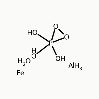 O.OP1(O)(O)OO1.[AlH3].[Fe]